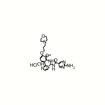 COc1c(OCCCN2CCOCC2)ccc2c1NC(NC(=O)c1cnc(N)nc1)n1ccnc1-2.Cl.Cl